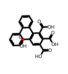 O=C(O)c1cc(C(=O)O)c(-c2ccccc2-c2ccccc2)c(C(=O)O)c1C(=O)O